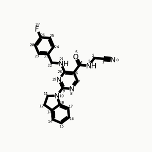 N#CCNC(=O)c1cnc(N2CCc3ccccc32)nc1NCc1ccc(F)cc1